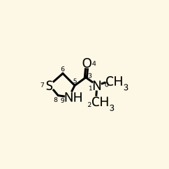 CN(C)C(=O)C1CSCN1